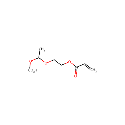 C=CC(=O)OCCOC(C)OC(=O)O